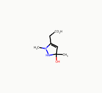 CN1NC(C)(O)C=C1CC(=O)O